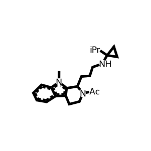 CC(=O)N1CCc2c(n(C)c3ccccc23)C1CCCNC1(C(C)C)CC1